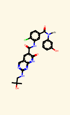 CCCN(C(=O)c1ccc(Cl)c(NC(=O)c2cc3cnc(NCC(C)(C)O)nc3[nH]c2=O)c1)c1cccc(O)c1